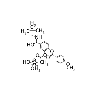 COc1ccc(C(=O)Oc2ccc(C(O)NCC(C)(C)C)cc2OC(C)=O)cc1.CS(=O)(=O)O